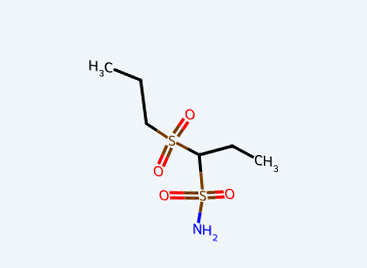 CCCS(=O)(=O)C(CC)S(N)(=O)=O